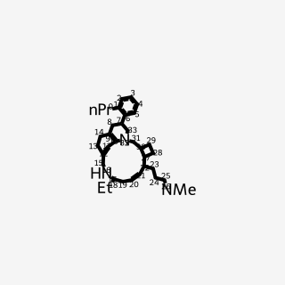 CCCc1ccccc1C1CC2=C3C=C(CC2)CNC(CC)C/C=C\C(CCCNC)C2CCC2CN3C1